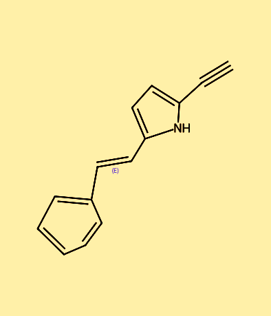 C#Cc1ccc(/C=C/c2ccccc2)[nH]1